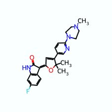 CN1CCN(c2ccc(C3=C/C(=C4\C(=O)Nc5cc(F)ccc54)OC3(C)C)cn2)CC1